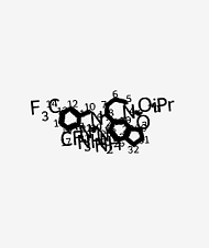 CC(C)OC(=O)N1CCC[C@H](N(Cc2cc(C(F)(F)F)cc(C(F)(F)F)c2)/C(N=N)=N/N)c2ccc3c(c21)CCC3